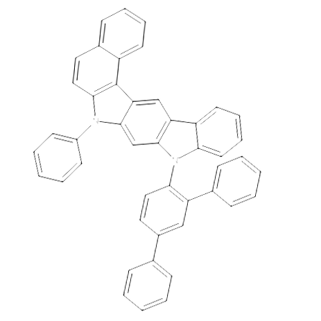 c1ccc(-c2ccc(-n3c4ccccc4c4cc5c6c7ccccc7ccc6n(-c6ccccc6)c5cc43)c(-c3ccccc3)c2)cc1